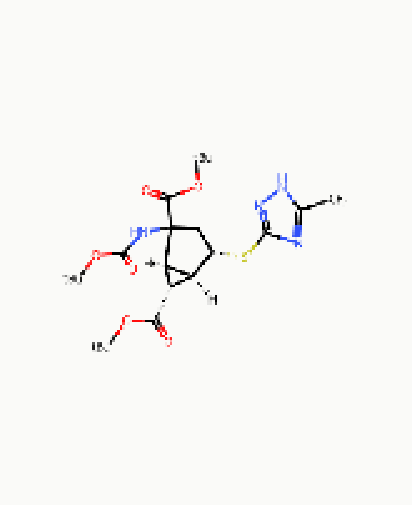 CC(C)(C)OC(=O)N[C@@]1(C(=O)OC(C)(C)C)C[C@H](Sc2n[nH]c(C(F)(F)F)n2)[C@H]2[C@H](C(=O)OC(C)(C)C)[C@H]21